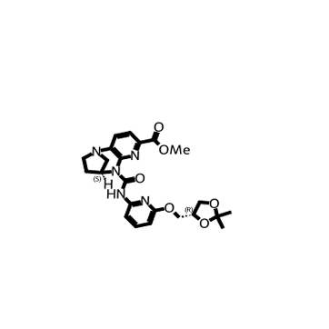 COC(=O)c1ccc2c(n1)N(C(=O)Nc1cccc(OC[C@@H]3COC(C)(C)O3)n1)[C@H]1CCN2C1